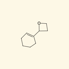 C1=C(C2CCO2)CCCC1